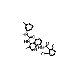 Cc1cccc(NC(=O)Nc2c(C)cnc3c(NC(=O)c4c(Cl)cccc4Cl)cccc23)c1